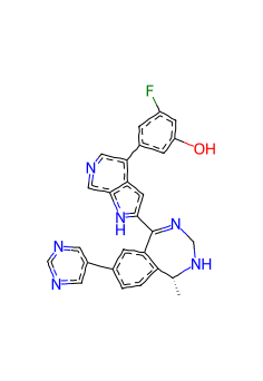 C[C@H]1NCN=C(c2cc3c(-c4cc(O)cc(F)c4)cncc3[nH]2)c2cc(-c3cncnc3)ccc21